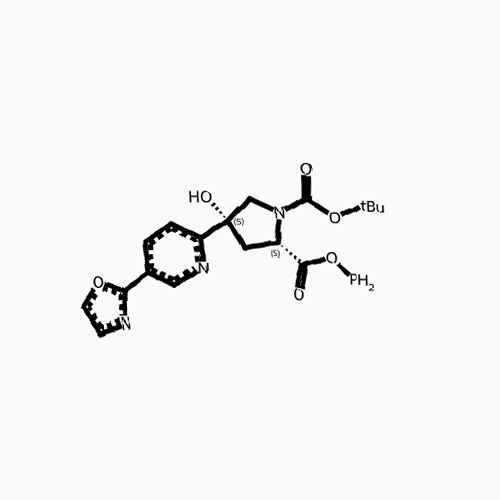 CC(C)(C)OC(=O)N1C[C@](O)(c2ccc(-c3ncco3)cn2)C[C@H]1C(=O)OP